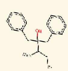 CNC(CC(C)C)C(O)(Cc1ccccc1)Cc1ccccc1